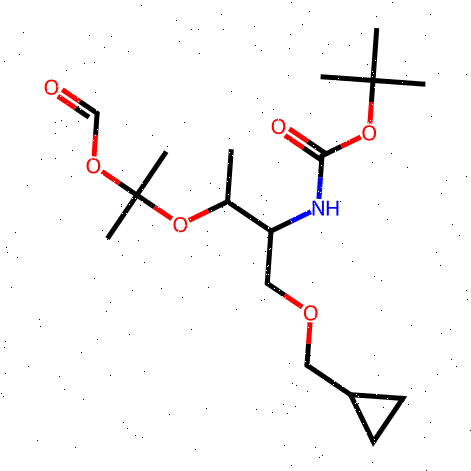 CC(OC(C)(C)OC=O)C(COCC1CC1)NC(=O)OC(C)(C)C